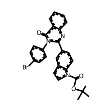 CC(C)(C)OC(=O)n1ccc2cc(-c3nc4ccccc4c(=O)n3-c3ccc(Br)cc3)ccc21